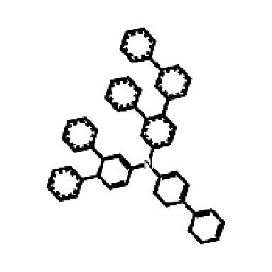 C1=CCCC(C2=CC=C(N(C3=CC(c4ccccc4)C(c4ccccc4)C=C3)c3ccc(-c4cccc(-c5ccccc5)c4)c(-c4ccccc4)c3)CC2)=C1